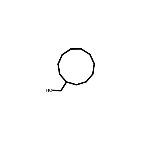 OCC1CCCCCCCCCC1